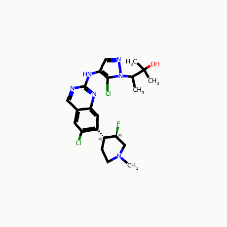 CC(n1ncc(Nc2ncc3cc(Cl)c([C@H]4CCN(C)C[C@@H]4F)cc3n2)c1Cl)C(C)(C)O